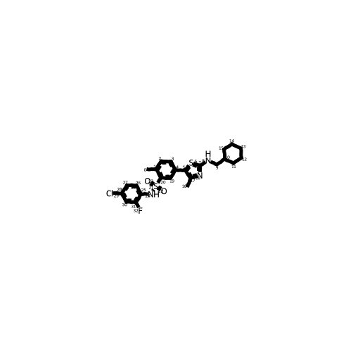 Cc1ccc(-c2sc(NCC3CCCCC3)nc2C)cc1S(=O)(=O)Nc1ccc(Cl)cc1F